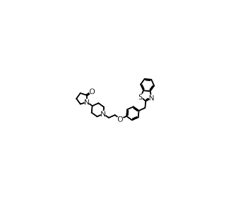 O=C1CCCN1C1CCN(CCOc2ccc(Cc3nc4ccccc4s3)cc2)CC1